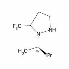 CC(C)[C@@H](C)N1NCCC1C(F)(F)F